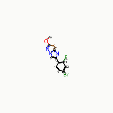 COc1nn2cc(-c3ccc(Br)cc3F)nc2s1